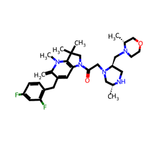 C=C1C(Cc2ccc(F)cc2F)=CC2=C(N1C)C(C)(C)CN2C(=O)CN1C[C@@H](C)NC[C@@H]1CN1CCOC[C@H]1C